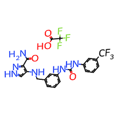 NC(=O)c1n[nH]cc1NCc1cccc(NC(=O)Nc2cccc(C(F)(F)F)c2)c1.O=C(O)C(F)(F)F